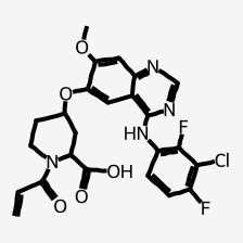 C=CC(=O)N1CCC(Oc2cc3c(Nc4ccc(F)c(Cl)c4F)ncnc3cc2OC)CC1C(=O)O